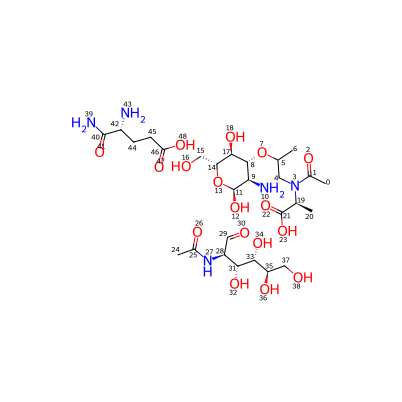 CC(=O)N(CC(C)O[C@@H]1[C@@H](N)[C@@H](O)O[C@H](CO)[C@H]1O)[C@@H](C)C(=O)O.CC(=O)N[C@@H](C=O)[C@@H](O)[C@H](O)[C@H](O)CO.NC(=O)[C@H](N)CCC(=O)O